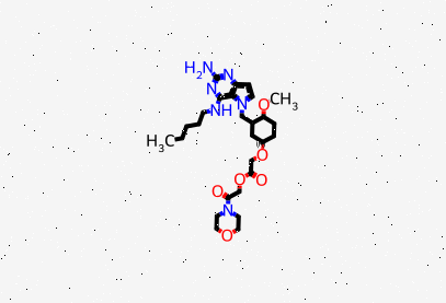 CCCCCNc1nc(N)nc2ccn(CC3C[C@H](OCC(=O)OCC(=O)N4CCOCC4)CCC3OC)c12